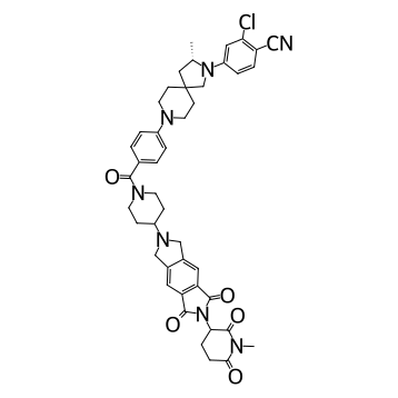 C[C@H]1CC2(CCN(c3ccc(C(=O)N4CCC(N5Cc6cc7c(cc6C5)C(=O)N(C5CCC(=O)N(C)C5=O)C7=O)CC4)cc3)CC2)CN1c1ccc(C#N)c(Cl)c1